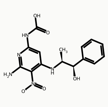 C[C@H](Nc1cc(NC(=O)O)nc(N)c1[N+](=O)[O-])[C@H](O)c1ccccc1